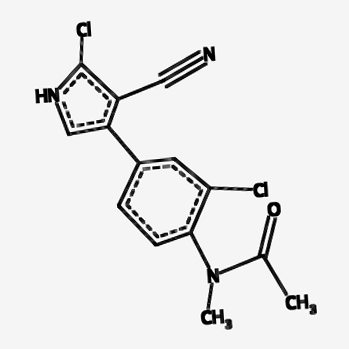 CC(=O)N(C)c1ccc(-c2c[nH]c(Cl)c2C#N)cc1Cl